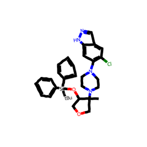 CC1(N2CCN(c3cc4[nH]ncc4cc3Cl)CC2)COCC1O[Si](c1ccccc1)(c1ccccc1)C(C)(C)C